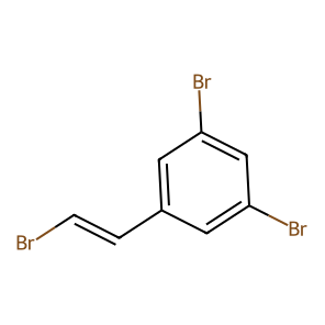 BrC=Cc1cc(Br)cc(Br)c1